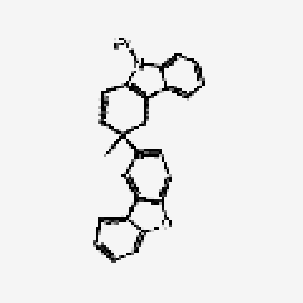 CC(C)n1c2c(c3ccccc31)CC(C)(c1ccc3oc4ccccc4c3c1)C=C2